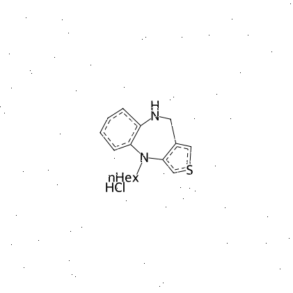 CCCCCCN1c2cscc2CNc2ccccc21.Cl